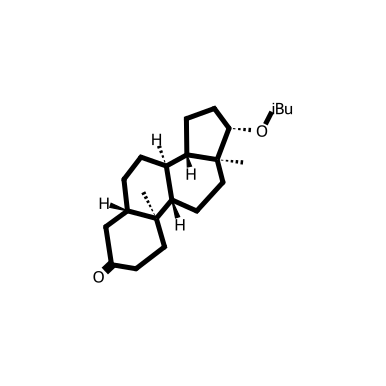 CCC(C)O[C@H]1CC[C@H]2[C@@H]3CC[C@H]4CC(=O)CC[C@]4(C)[C@H]3CC[C@]12C